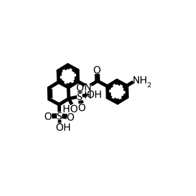 Nc1cccc(C(=O)Nc2cccc3c2C(O)(S(=O)(=O)O)C(S(=O)(=O)O)C=C3)c1